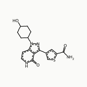 NC(=O)c1cc(-c2nn(C3CCC(O)CC3)c3cc[nH]c(=O)c23)cs1